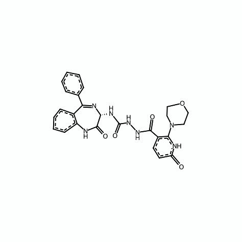 O=C(NNC(=O)c1ccc(=O)[nH]c1N1CCOCC1)N[C@H]1N=C(c2ccccc2)c2ccccc2NC1=O